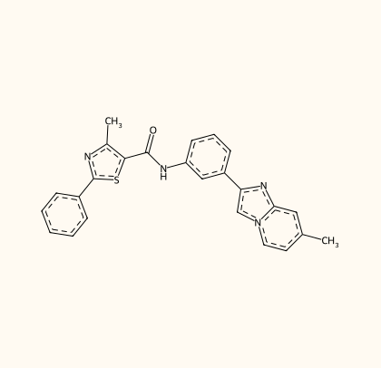 Cc1ccn2cc(-c3cccc(NC(=O)c4sc(-c5ccccc5)nc4C)c3)nc2c1